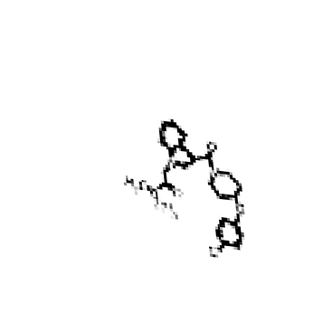 CN(C)C(=O)Cn1cc(C(=O)N2CCC(Oc3ccc(Cl)cc3)CC2)c2ccccc21